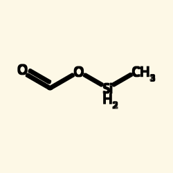 C[SiH2]OC=O